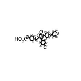 O=C(O)OC1CCN(CC2OC(=O)N(C3CCN(c4ccncc4)CC3)C2c2ccc(Cl)cc2)CC1